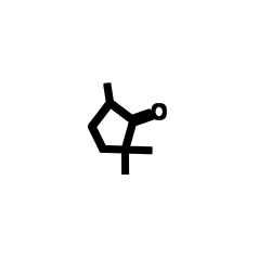 CC1CCC(C)(C)C1=O